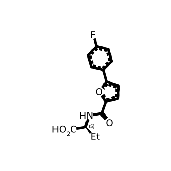 CC[C@H](NC(=O)c1ccc(-c2ccc(F)cc2)o1)C(=O)O